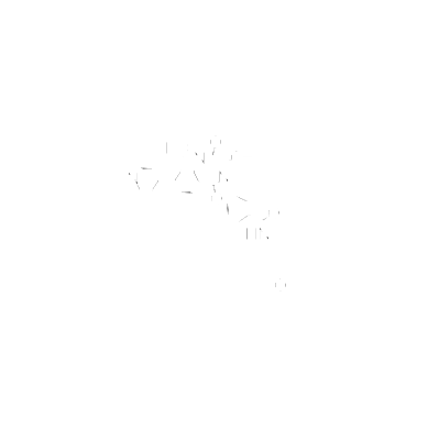 C[C@@H]1C(=O)N(C)c2cc(-c3ccncc3)ccc2C(=O)N1Cc1cccc(C(=O)NC[C@H]2C[C@@H](O)C2)c1